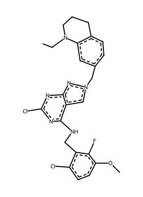 CCN1CCCc2ccc(Cn3cc4c(NCc5c(Cl)ccc(OC)c5F)nc(Cl)nc4n3)cc21